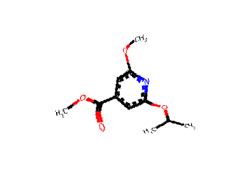 COC(=O)c1cc(OC)nc(OC(C)C)c1